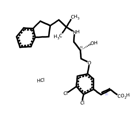 CC(C)(CC1Cc2ccccc2C1)NC[C@H](O)COc1cc(Cl)c(Cl)c(/C=C/C(=O)O)c1.Cl